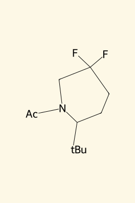 CC(=O)N1CC(F)(F)CCC1C(C)(C)C